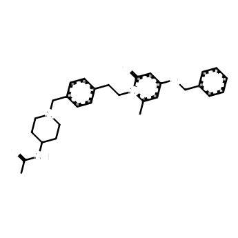 CC(=O)NC1CCN(Cc2ccc(CCn3c(C)cc(OCc4ccccc4)cc3=O)cc2)CC1